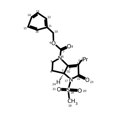 CC(C)C1=C2[C@H](CCN2C(=O)OCc2ccccc2)N(S(C)(=O)=O)C1=O